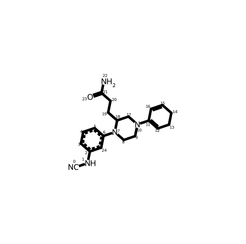 N#CNc1cccc(N2CCN(C3=CCCC=C3)CC2CCC(N)=O)c1